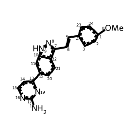 COc1ccc(C=Cc2n[nH]c3cc(-c4ccnc(N)n4)ccc23)cc1